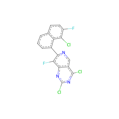 Fc1ccc2cccc(-c3ncc4c(Cl)nc(Cl)nc4c3F)c2c1Cl